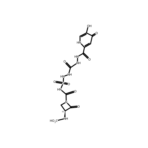 O=C(O)N[C@H]1CN(C(=O)NS(=O)(=O)NNC(=O)NNC(=O)c2cc(=O)c(O)c[nH]2)C1=O